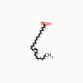 CC/C=C\C/C=C\C/C=C\C/C=C\C/C=C\CCCCCCCCCCCCCC(=O)O